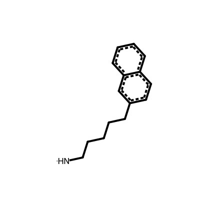 [NH]CCCCCc1ccc2ccccc2c1